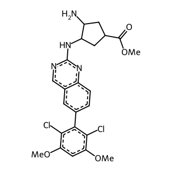 COC(=O)C1CC(N)C(Nc2ncc3cc(-c4c(Cl)c(OC)cc(OC)c4Cl)ccc3n2)C1